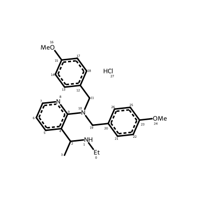 CCNC(C)c1cccnc1N(Cc1ccc(OC)cc1)Cc1ccc(OC)cc1.Cl